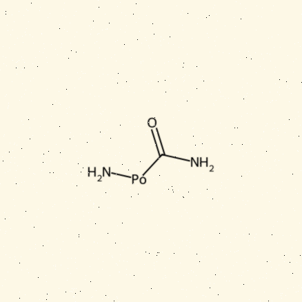 [NH2][Po][C](N)=O